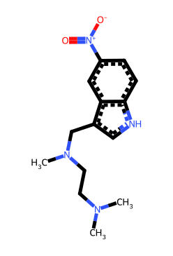 CN(C)CCN(C)Cc1c[nH]c2ccc([N+](=O)[O-])cc12